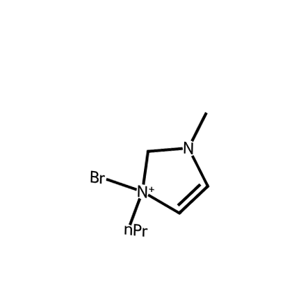 CCC[N+]1(Br)C=CN(C)C1